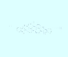 O=c1c2cc(O)c3c4ccc5c(=O)n6c7cc(S(=O)(=O)O)ccc7nc6c6cc(O)c(c7ccc(c2c73)c2nc3ccc(S(=O)(=O)O)cc3n12)c4c56